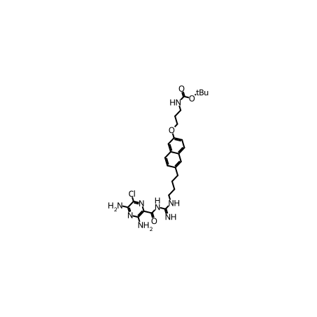 CC(C)(C)OC(=O)NCCCOc1ccc2cc(CCCCNC(=N)NC(=O)c3nc(Cl)c(N)nc3N)ccc2c1